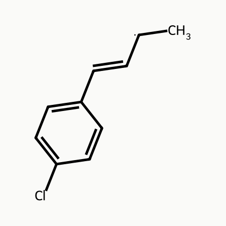 C[CH]C=Cc1ccc(Cl)cc1